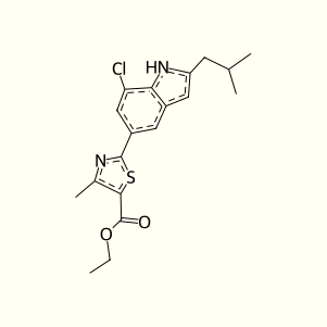 CCOC(=O)c1sc(-c2cc(Cl)c3[nH]c(CC(C)C)cc3c2)nc1C